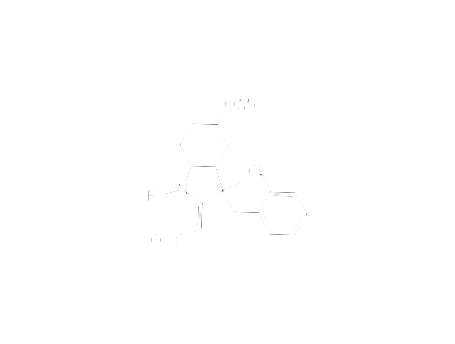 CCN1/C(=C\C=O)C(C)(Cc2ccccc2Cl)C2CC(OC)CCC21